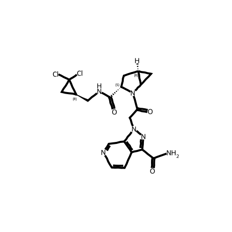 NC(=O)c1nn(CC(=O)N2C3C[C@@H]3C[C@H]2C(=O)NC[C@H]2CC2(Cl)Cl)c2cnccc12